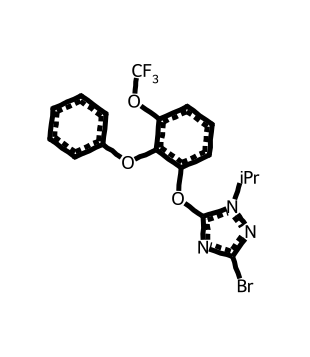 CC(C)n1nc(Br)nc1Oc1cccc(OC(F)(F)F)c1Oc1ccccc1